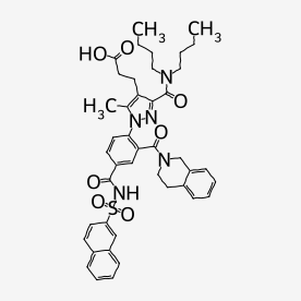 CCCCN(CCCC)C(=O)c1nn(-c2ccc(C(=O)NS(=O)(=O)c3ccc4ccccc4c3)cc2C(=O)N2CCc3ccccc3C2)c(C)c1CCC(=O)O